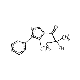 CC(C)(S)C(=O)c1cnn(-c2ccccc2)c1C(F)(F)F